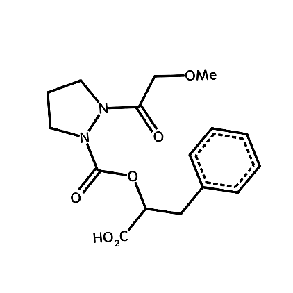 COCC(=O)N1CCCN1C(=O)OC(Cc1ccccc1)C(=O)O